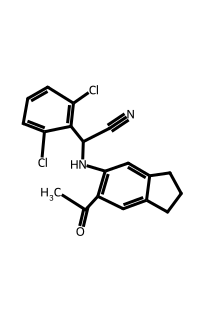 CC(=O)c1cc2c(cc1NC(C#N)c1c(Cl)cccc1Cl)CCC2